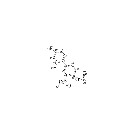 COC(=O)c1cc(-c2ccc(F)cc2F)ccc1OC(C)=O